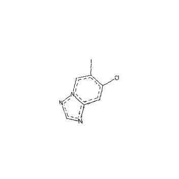 Clc1cc2ncnn2cc1I